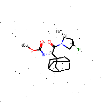 CC(C)(C)OC(=O)N[C@H](C(=O)N1C[C@@H](F)C[C@H]1C#N)C12CC3CC(CC(C3)C1)C2